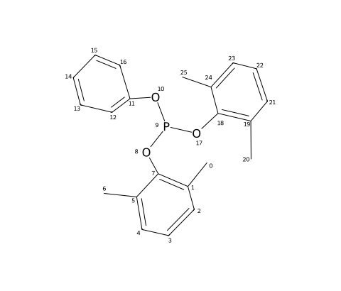 Cc1cccc(C)c1OP(Oc1ccccc1)Oc1c(C)cccc1C